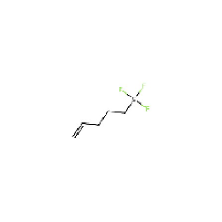 C=CCCC[Si](F)(F)F